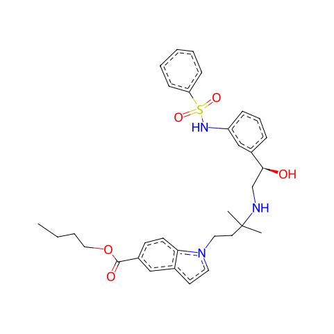 CCCCOC(=O)c1ccc2c(ccn2CCC(C)(C)NC[C@H](O)c2cccc(NS(=O)(=O)c3ccccc3)c2)c1